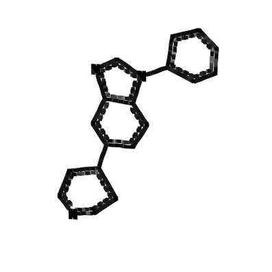 c1ccc(-n2cnc3cc(-c4ccncc4)ccc32)cc1